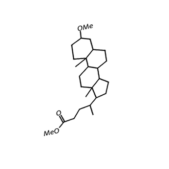 COC(=O)CCC(C)C1CCC2C3CCC4CC(OC)CCC4(C)C3CCC12C